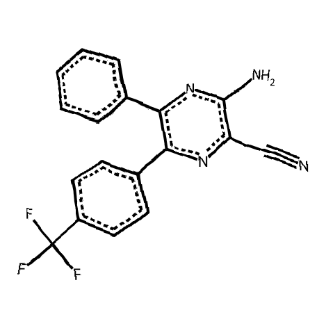 N#Cc1nc(-c2ccc(C(F)(F)F)cc2)c(-c2ccccc2)nc1N